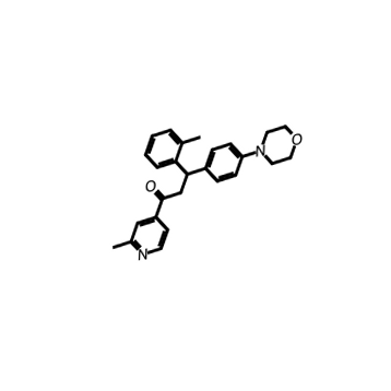 Cc1cc(C(=O)CC(c2ccc(N3CCOCC3)cc2)c2ccccc2C)ccn1